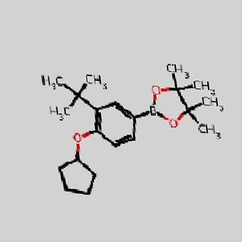 CC(C)(C)c1cc(B2OC(C)(C)C(C)(C)O2)ccc1OC1CCCC1